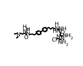 CCN(CC)CC[C@H](N)C(=O)NCCCc1ccc(-c2ccc(CCCCNC(=N)NC(=O)c3nc(Cl)c(N)nc3N)cc2)cc1